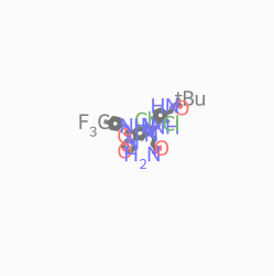 CC(C)(C)C(=O)NCc1ccc(Cl)c(Nc2nc3cc(C(=O)Nc4ccc(C(F)(F)F)cc4)c(N4CCOCC4)cc3n2CCC(N)=O)c1Cl